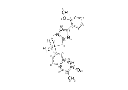 COc1ccccc1-c1nc(CC(C)(N)c2ccc3cc(C)c(=O)[nH]c3c2)no1